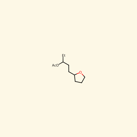 CCC(CCC1CCCO1)OC(C)=O